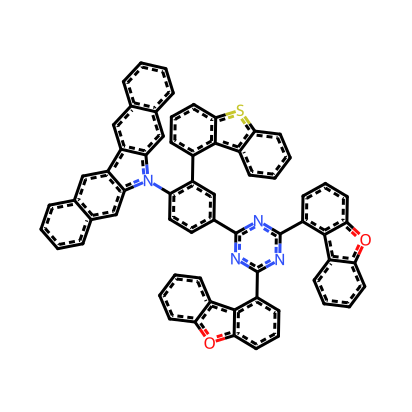 c1ccc2cc3c(cc2c1)c1cc2ccccc2cc1n3-c1ccc(-c2nc(-c3cccc4oc5ccccc5c34)nc(-c3cccc4oc5ccccc5c34)n2)cc1-c1cccc2sc3ccccc3c12